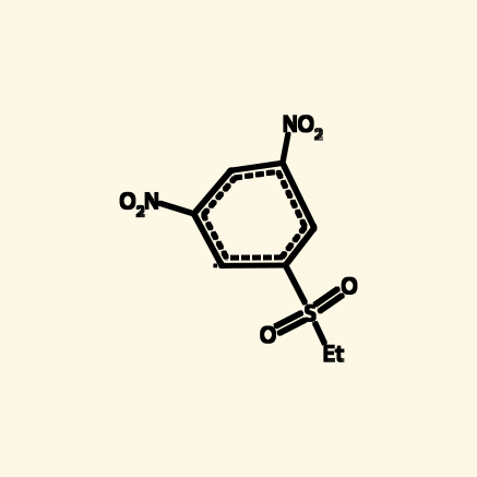 CCS(=O)(=O)c1[c]c([N+](=O)[O-])cc([N+](=O)[O-])c1